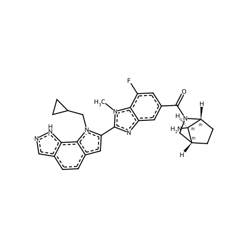 Cn1c(-c2cc3ccc4cn[nH]c4c3n2CC2CC2)nc2cc(C(=O)N3C[C@H]4CC[C@@H]3[C@@H]4N)cc(F)c21